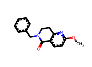 COc1ccc2c(n1)CCN(Cc1ccccc1)C2=O